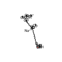 CC(=O)OC[C@H](CO[P+]([O-])(O)OCC[N+](C)(C)C)OC(=O)/C=C/CCCCC[C@H]1O[C@]2(CCCCCCCCCCCCCOCC(CO)NS(=O)(=O)O)CC[C@@H](OC(C)=O)[C@@H]1O2.[Na+]